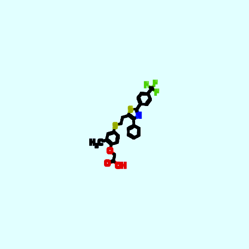 Cc1cc(SCCc2sc(-c3ccc(C(F)(F)F)cc3)nc2-c2ccccc2)ccc1OCC(=O)O